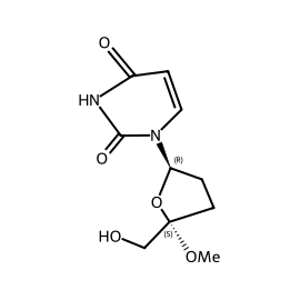 CO[C@@]1(CO)CC[C@H](n2ccc(=O)[nH]c2=O)O1